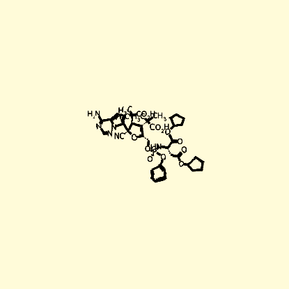 CC(C)(C(=O)O)[C@@H]1[C@H](COP(=O)(N[C@@H](CC(=O)OC2CCCC2)C(=O)OC2CCCC2)Oc2ccccc2)O[C@@](C#N)(c2ccc3c(N)ncnn23)[C@H]1C(C)(C)C(=O)O